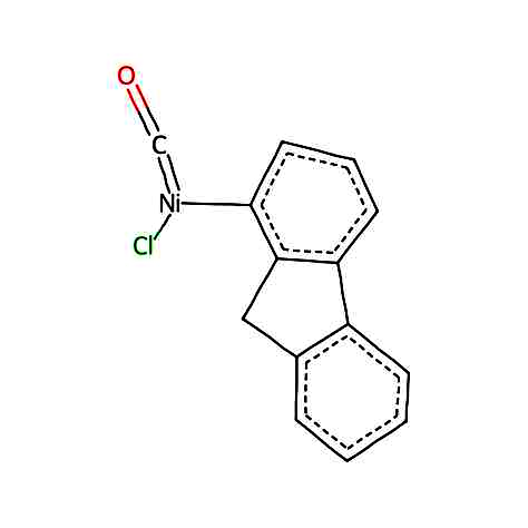 O=[C]=[Ni]([Cl])[c]1cccc2c1Cc1ccccc1-2